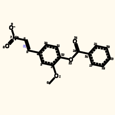 COc1cc(/C=C/[N+](=O)[O-])ccc1OC(=O)c1ccccc1